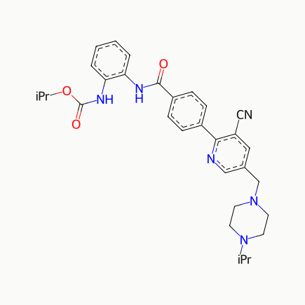 CC(C)OC(=O)Nc1ccccc1NC(=O)c1ccc(-c2ncc(CN3CCN(C(C)C)CC3)cc2C#N)cc1